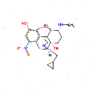 CN[C@@H]1CC[C@@]2(O)[C@H]3Cc4c([N+](=O)[O-])cc(O)c5c4[C@@]2(CCN3CC2CC2)[C@H]1O5